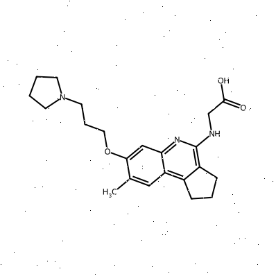 Cc1cc2c3c(c(NCC(=O)O)nc2cc1OCCCN1CCCC1)CCC3